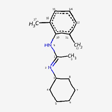 C/C(=N\C1CCCCC1)Nc1c(C)cccc1C